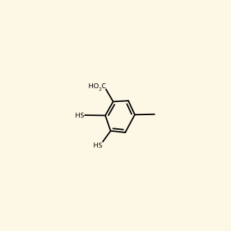 Cc1cc(S)c(S)c(C(=O)O)c1